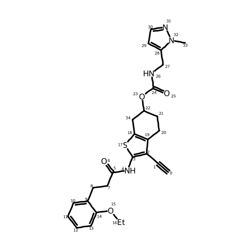 C#Cc1c(NC(=O)CCc2ccccc2OCC)sc2c1CCC(OC(=O)NCc1ccnn1C)C2